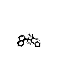 CC(C)(c1nccc2ccccc12)C(CN1CCCC1)C(N)=O